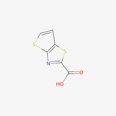 O=C(O)c1nc2sccc2s1